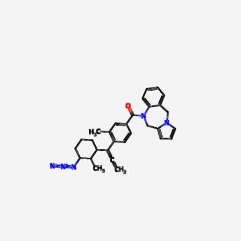 C=C=C(c1ccc(C(=O)N2Cc3cccn3Cc3ccccc32)cc1C)C1CCCC(N=[N+]=[N-])C1C